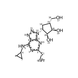 CCCSc1nc(NC2CC2)c2nnn([C@@H]3C[C@H](CO)[C@@H](O)[C@H]3O)c2n1